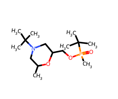 CC1CN(C(C)(C)C)CC(COP(C)(=O)C(C)(C)C)O1